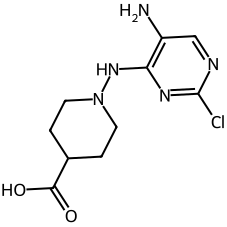 Nc1cnc(Cl)nc1NN1CCC(C(=O)O)CC1